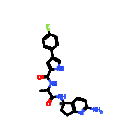 CC(NC(=O)c1cc(-c2ccc(F)cc2)c[nH]1)C(=O)N[C@@H]1CCc2nc(N)ccc21